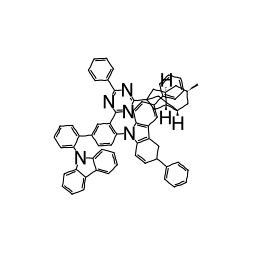 C[C@@H]1C[C@@H]2CC3(c4nc(-c5ccccc5)nc(-c5cc(-c6ccccc6-n6c7ccccc7c7ccccc76)ccc5-n5c6c(c7cc(-c8ccccc8)ccc75)CC(c5ccccc5)C=C6)n4)C[C@H](C1)[C@@H]2C3